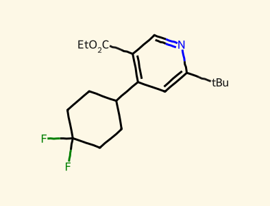 CCOC(=O)c1cnc(C(C)(C)C)cc1C1CCC(F)(F)CC1